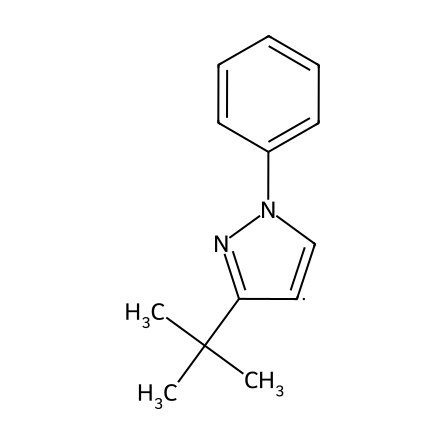 CC(C)(C)c1[c]cn(-c2ccccc2)n1